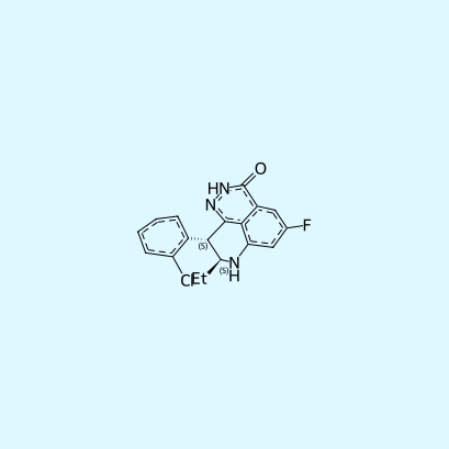 CC[C@@H]1Nc2cc(F)cc3c(=O)[nH]nc(c23)[C@H]1c1ccccc1Cl